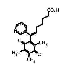 CC1=C(C)C(=O)C(C(=CCCCCC(=O)O)c2cccnc2)=C(C)C1=O